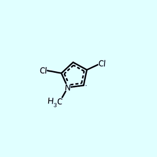 Cn1[c]c(Cl)cc1Cl